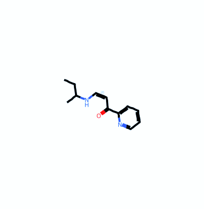 CCC(C)N/C=C\C(=O)c1ccccn1